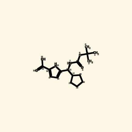 CC(C)(C)OC(=O)N[C@H](c1ccc(C(=O)O)[nH]1)C1CCCC1